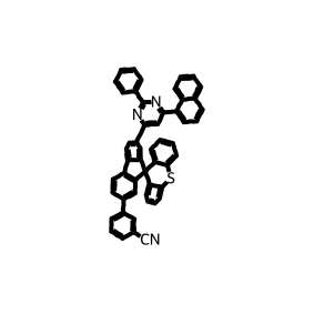 N#Cc1cccc(-c2ccc3c(c2)C2(c4ccccc4Sc4ccccc42)c2cc(-c4cc(-c5cccc6ccccc56)nc(-c5ccccc5)n4)ccc2-3)c1